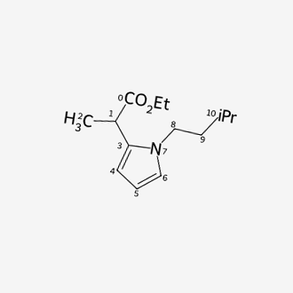 CCOC(=O)C(C)c1cccn1CCC(C)C